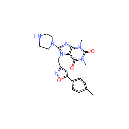 Cc1ccc(-c2cc(Cn3c(N4CCNCC4)nc4c3c(=O)n(C)c(=O)n4C)no2)cc1